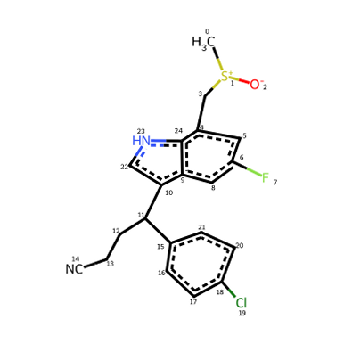 C[S+]([O-])Cc1cc(F)cc2c(C(CCC#N)c3ccc(Cl)cc3)c[nH]c12